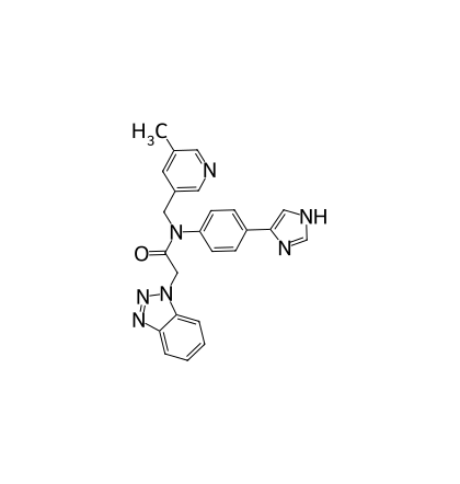 Cc1cncc(CN(C(=O)Cn2nnc3ccccc32)c2ccc(-c3c[nH]cn3)cc2)c1